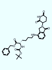 CC(C)(C)OC(=O)N[C@@H](CCCCNc1cccc2c1CN(C1CCC(=O)NC1=O)C2=O)C(=O)OCc1ccccc1